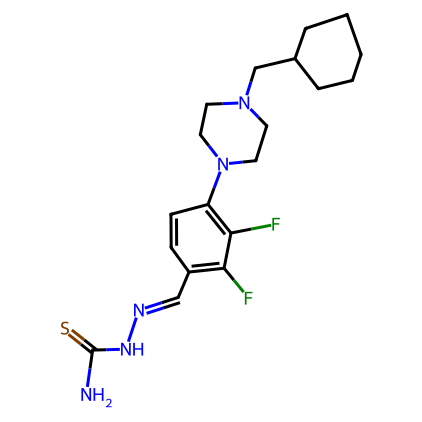 NC(=S)NN=Cc1ccc(N2CCN(CC3CCCCC3)CC2)c(F)c1F